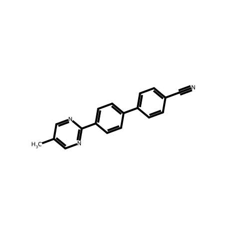 Cc1cnc(-c2ccc(-c3ccc(C#N)cc3)cc2)nc1